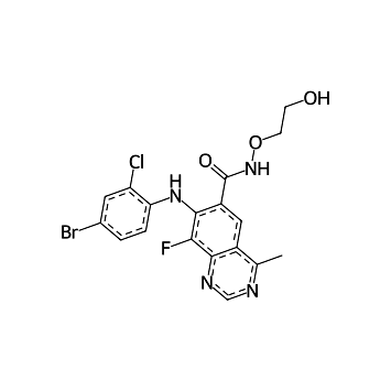 Cc1ncnc2c(F)c(Nc3ccc(Br)cc3Cl)c(C(=O)NOCCO)cc12